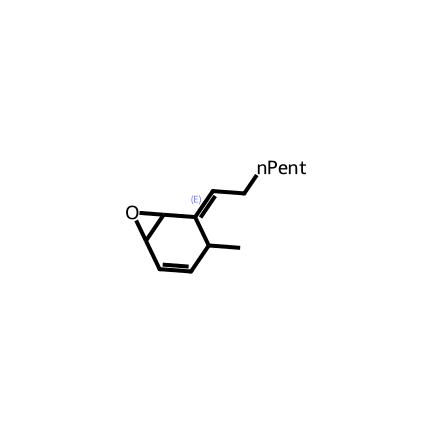 CCCCCC/C=C1\C(C)C=CC2OC12